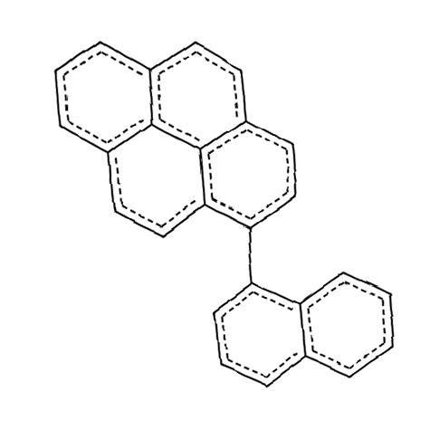 c1ccc2c(-c3ccc4ccc5cccc6ccc3c4c56)cccc2c1